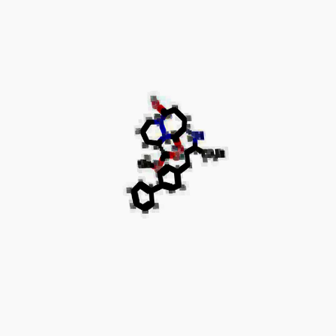 CCOC(=O)[C@@H](CCc1ccc(-c2ccccc2)cc1)N[C@H]1CCC(=O)N2CCC[C@@H](C(=O)OC(C)(C)C)N2C1=O